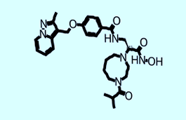 Cc1nn2ccccc2c1COc1ccc(C(=O)NC[C@@H](C(=O)NO)N2CCCCN(C(=O)C(C)C)CC2)cc1